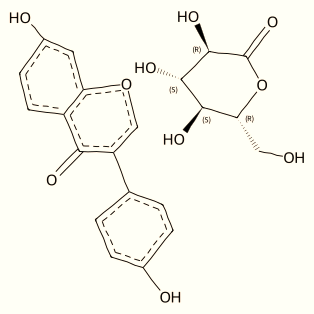 O=C1O[C@H](CO)[C@@H](O)[C@H](O)[C@H]1O.O=c1c(-c2ccc(O)cc2)coc2cc(O)ccc12